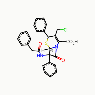 O=C(Cc1ccccc1)NC1(c2ccccc2)C(=O)N2C(C(=O)O)=C(CCl)C(c3ccccc3)S[C@H]21